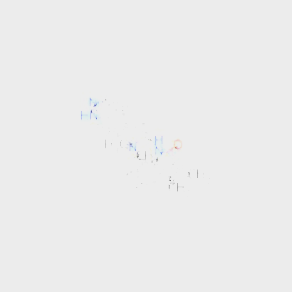 C[C@H]1[C@@H](C(=O)NC[C@H](Cc2ccc3[nH]ncc3c2)N(C)C)[C@@]1(C)c1ccccc1